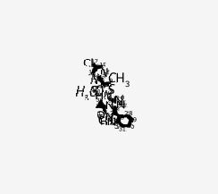 COCC1(n2c(NSC(C)C(OC)c3ncc(Cl)cn3)nnc2-c2n[nH]c3c2CCCC3)CC1